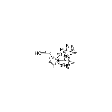 C#CCN1C=CN(C)C1OP(=O)(C(F)(F)C(F)(F)F)C(F)(F)C(F)(F)F